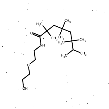 CC(C)C(C)(C)CC(C)(C)CC(C)(C)C(=O)NCCOCCO